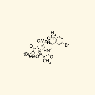 CO[C@@H]1C[C@H]([C@H](OC)[C@@H](C)C(=O)NCC(=NO)c2cc(Br)ccc2C)N(C(=O)OC(C)(C)C)C1